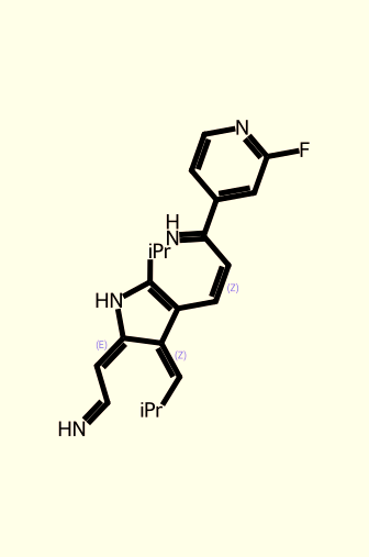 CC(C)/C=c1/c(/C=C\C(=N)c2ccnc(F)c2)c(C(C)C)[nH]/c1=C/C=N